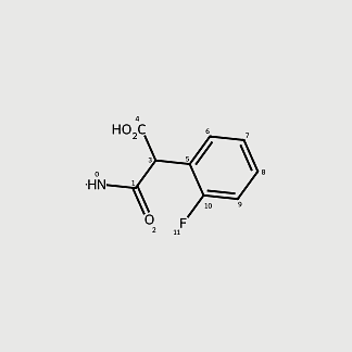 [NH]C(=O)C(C(=O)O)c1ccccc1F